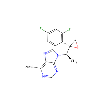 COc1ncnc2c1ncn2[C@H](C)[C@@]1(c2ccc(F)cc2F)CO1